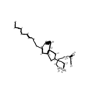 CCCCCCCCc1ccc2c(c1)CC(C(CO)(CO)NC(C)=O)C2